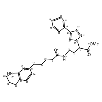 COC(=O)C(CCNC(=O)CCCCc1ccc2c(n1)NCCC2)n1cc(-c2ccccc2)nn1